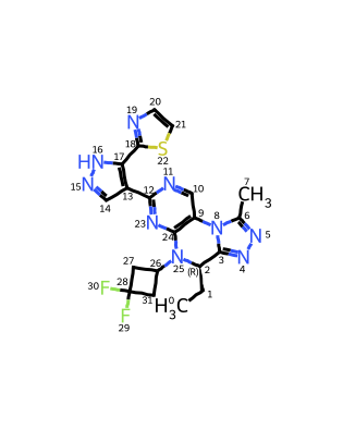 CC[C@@H]1c2nnc(C)n2-c2cnc(-c3cn[nH]c3-c3nccs3)nc2N1C1CC(F)(F)C1